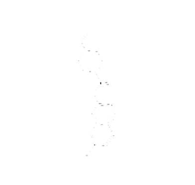 O=CC1CCC(C(=O)Nc2cc3cc(Br)ccc3cn2)CC1